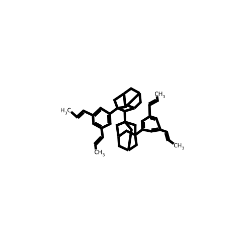 CC=Cc1cc(C=CC)cc(C23CC4CC(C2)CC(C2C5CC6CC(C5)CC2(c2cc(C=CC)cc(C=CC)c2)C6)(C4)C3)c1